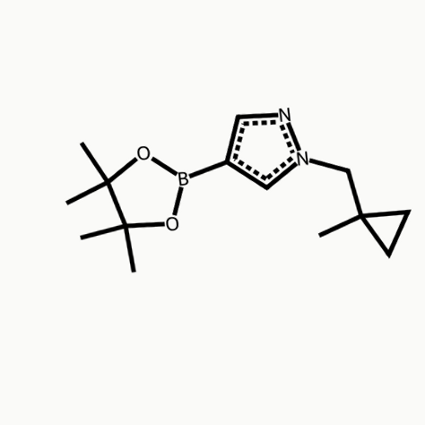 CC1(Cn2cc(B3OC(C)(C)C(C)(C)O3)cn2)CC1